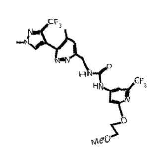 COCCOc1cc(NC(=O)NCc2cc(C)c(-c3cn(C)nc3C(F)(F)F)nn2)cc(C(F)(F)F)n1